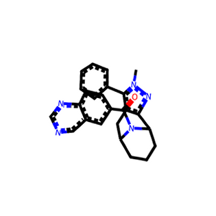 Cn1nc2c(c1-c1ccccc1)CC1CCCC2N1C(=O)c1ccc2ncncc2c1